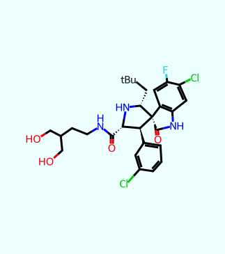 CC(C)(C)C[C@H]1N[C@@H](C(=O)NCCC(CO)CO)[C@H](c2cccc(Cl)c2)[C@@]12C(=O)Nc1cc(Cl)c(F)cc12